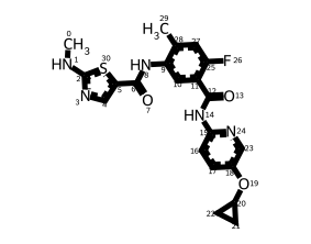 CNc1ncc(C(=O)Nc2cc(C(=O)Nc3ccc(OC4CC4)cn3)c(F)cc2C)s1